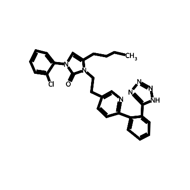 CCCCc1cn(-c2ccccc2Cl)c(=O)n1CCc1ccc(-c2ccccc2-c2nnn[nH]2)nc1